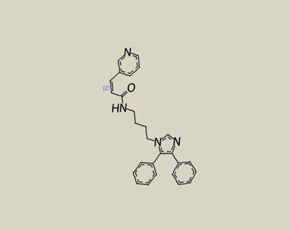 O=C(/C=C\c1cccnc1)NCCCCn1cnc(-c2ccccc2)c1-c1ccccc1